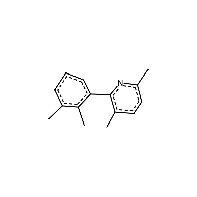 Cc1ccc(C)c(-c2cccc(C)c2C)n1